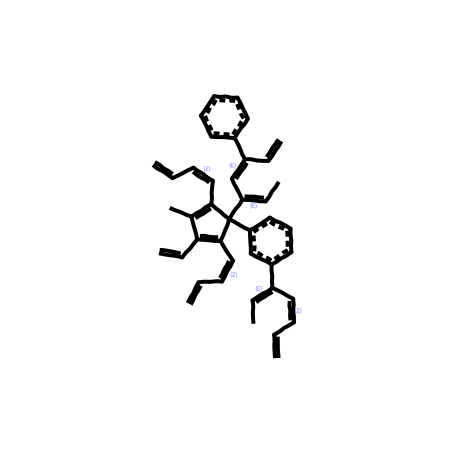 C=C/C=C\C1=C(C)C(C=C)=C(/C=C\C=C)C1(C(/C=C(\C=C)c1ccccc1)=C/C)c1cccc(C(/C=C\C=C)=C/C)c1